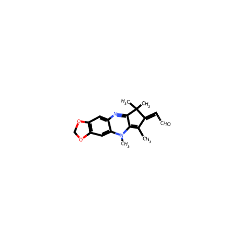 CC1=C2C(=Nc3cc4c(cc3N2C)OCO4)C(C)(C)/C1=C/C=O